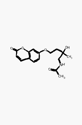 CC(=O)NCC(C)(O)CCOc1ccc2ccc(=O)oc2c1